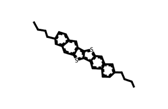 CCCCc1ccc2cc3c(cc2c1)sc1c2cc4ccc(CCCC)cc4cc2sc31